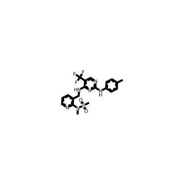 Cc1ccc(Nc2ncc(C(F)(F)F)c(NCc3cccnc3N(C)S(C)(=O)=O)n2)cc1